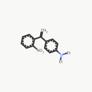 C=C(c1ccc(N(CC)CC)cc1)c1ccccc1[N+](=O)[O-]